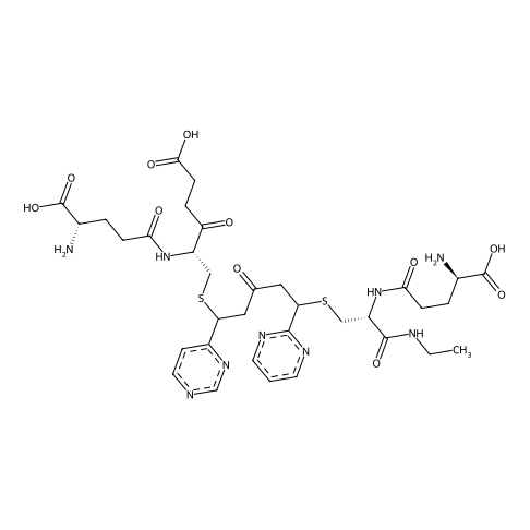 CCNC(=O)[C@H](CSC(CC(=O)CC(SC[C@H](NC(=O)CC[C@H](N)C(=O)O)C(=O)CCC(=O)O)c1ccncn1)c1ncccn1)NC(=O)CC[C@@H](N)C(=O)O